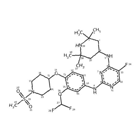 CC1(C)CC(Nc2nc(Nc3ccc(OC4CCN(S(C)(=O)=O)CC4)c(OC(F)F)c3)ncc2F)CC(C)(C)N1